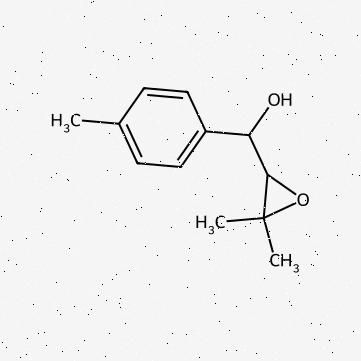 Cc1ccc(C(O)C2OC2(C)C)cc1